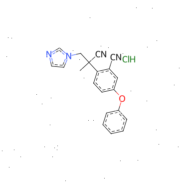 CC(C#N)(Cn1ccnc1)c1ccc(Oc2ccccc2)cc1C#N.Cl